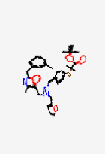 Cc1cccc(Cc2nc(C)c(CN(Cc3ccc(SC(C)(C)C(=O)OC(C)(C)C)cc3)Cc3ccco3)o2)c1